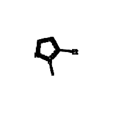 [CH2]Cc1ccnn1C